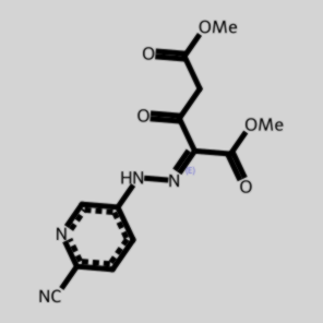 COC(=O)CC(=O)/C(=N\Nc1ccc(C#N)nc1)C(=O)OC